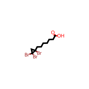 O=C(O)CCCCCCC1(Br)CC1(Br)Br